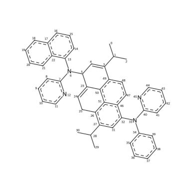 CC(C)C1=CC(N(c2ccccn2)c2cccc3ccccc23)C2=CCc3c(C(C)C)cc(N(c4ccccc4)c4ccccn4)c4ccc1c2c34